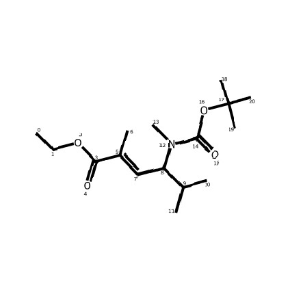 CCOC(=O)/C(C)=C/C(C(C)C)N(C)C(=O)OC(C)(C)C